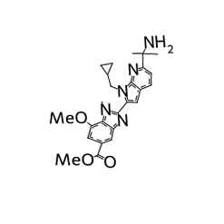 COC(=O)c1cc(OC)c2c(c1)nc(-c1cc3ccc(C(C)(C)N)nc3n1CC1CC1)n2C